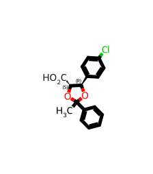 CC1(c2ccccc2)O[C@H](C(=O)O)[C@@H](c2ccc(Cl)cc2)O1